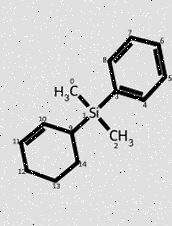 C[Si](C)(c1ccccc1)C1C=CCCC1